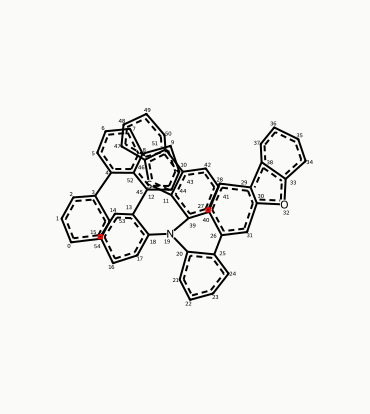 c1ccc(-c2cccc3cccc(-c4ccccc4N(c4ccccc4-c4ccc5c(c4)oc4ccccc45)c4cccc5c4sc4ccccc45)c23)cc1